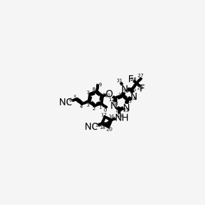 Cc1cc(/C=C/C#N)cc(C)c1Oc1nc(NC23CC(C#N)(C2)C3)nc2nc(C(C)(F)F)n(C)c12